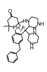 CC1(C)CC(=O)CC(C)(C)P1c1ccc(Cc2ccccc2)cc1C(P)(C1CNCCN1)C1CNCCN1